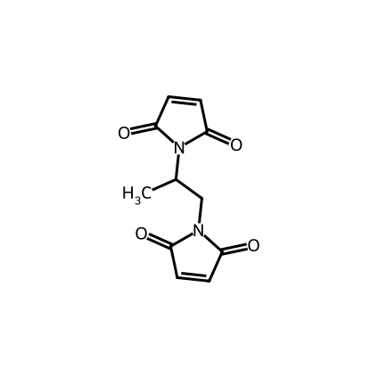 CC(CN1C(=O)C=CC1=O)N1C(=O)C=CC1=O